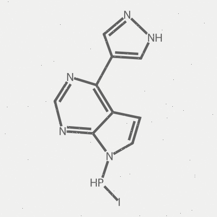 IPn1ccc2c(-c3cn[nH]c3)ncnc21